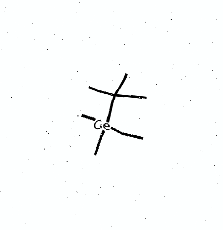 [CH2][Ge]([CH3])([CH3])[C](C)(C)C